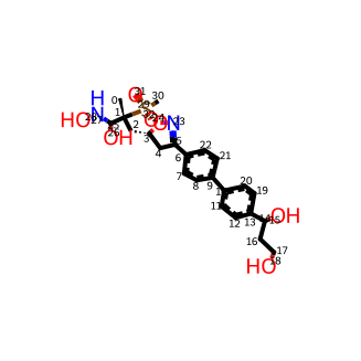 C[C@@](C[C@H]1CC(c2ccc(-c3ccc(C(O)CCO)cc3)cc2)=NO1)(C(O)NO)S(C)(=O)=O